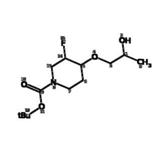 CC(O)COC1CCN(C(=O)OC(C)(C)C)CC1F